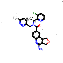 C[C@H](c1ncccc1F)N(Cc1ccc(C(F)(F)F)nn1)C(=O)c1ccc2nc(N)c3c(c2c1)COC3